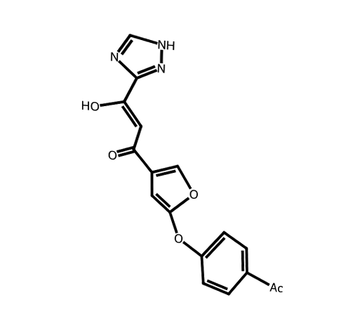 CC(=O)c1ccc(Oc2cc(C(=O)C=C(O)c3nc[nH]n3)co2)cc1